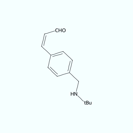 CC(C)(C)NCc1ccc(/C=C\C=O)cc1